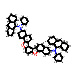 c1ccc(N(c2ccc3c(ccc4c3oc3ccc5oc6c7ccc(N(c8ccccc8)c8c9ccccc9cc9ccccc89)cc7ccc6c5c34)c2)c2c3ccccc3cc3ccccc23)cc1